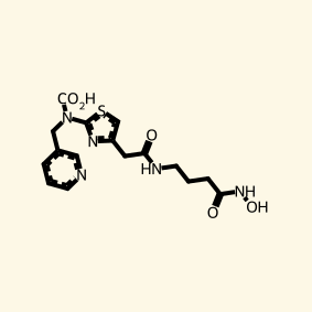 O=C(CCCNC(=O)Cc1csc(N(Cc2cccnc2)C(=O)O)n1)NO